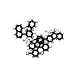 CC1(C)c2ccccc2-c2ccc(-c3ccc(N(c4cc(-c5cccc6ccccc56)c5sc6ccccc6c5c4)C4(C)CC=CC5=C4c4ccccc4C54c5ccccc5Oc5ccc(Cl)cc54)cc3)cc21